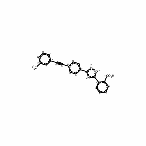 O=C(O)c1ccccc1-c1nc(-c2ccc(C#Cc3cccc(C(F)(F)F)c3)cc2)no1